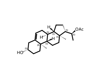 CC(=O)O[C@@H](C)[C@H]1CC[C@H]2[C@@H]3CC=C4C[C@@H](O)CC[C@]4(C)[C@H]3CC[C@]12C